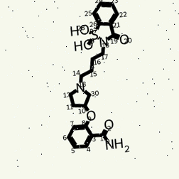 NC(=O)c1ccccc1OC1CCN(CCCCN2C(=O)c3ccccc3S2(O)O)C1